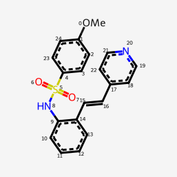 COc1ccc(S(=O)(=O)Nc2ccccc2/C=C/c2ccncc2)cc1